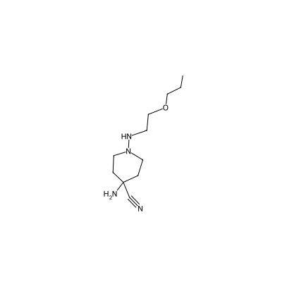 CCCOCCNN1CCC(N)(C#N)CC1